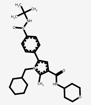 Cc1c(C(=O)NC2CCOCC2)cc(-c2ccc([S+]([O-])NC(C)(C)C)cc2)n1CC1CCCCC1